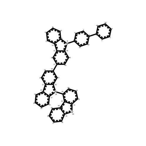 c1ccc(-c2ccc(-n3c4ccccc4c4cc(-c5ccc6c7ccccc7n(-c7cccc8oc9ccccc9c78)c6c5)ccc43)cc2)cc1